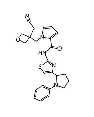 N#CCC1(Cn2cccc2C(=O)Nc2nc(C3CCCN3c3ccccc3)cs2)COC1